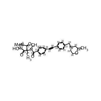 CNC(=O)C(C)(C(=O)NO)N(C)C(=O)c1ccc(C#Cc2ccc(CN3CCOC(C)C3)cc2)cc1